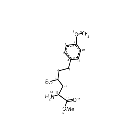 CCC(CCc1ccc(OC(F)(F)F)cc1)CC(N)C(=O)OC